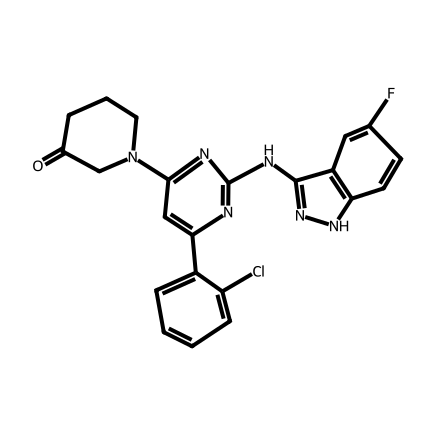 O=C1CCCN(c2cc(-c3ccccc3Cl)nc(Nc3n[nH]c4ccc(F)cc34)n2)C1